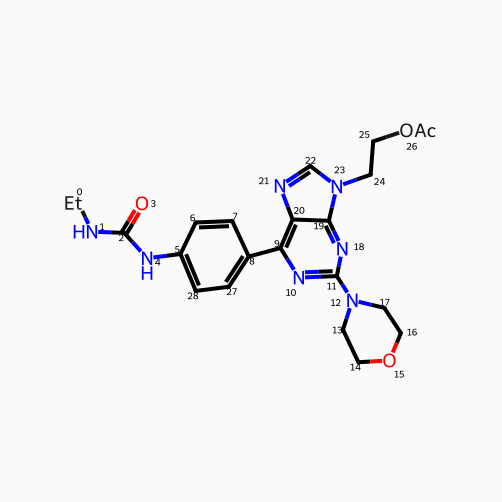 CCNC(=O)Nc1ccc(-c2nc(N3CCOCC3)nc3c2ncn3CCOC(C)=O)cc1